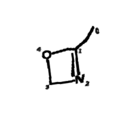 CC1=NCO1